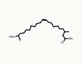 CCCCCCCCCCC(C)CCCCCCCC/C=C\CCCCCC[C](C)CC(CC)CCCC